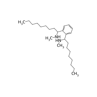 CCCCCCCCC(NC)c1ccccc1C(CCCCCCCC)NC